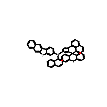 c1ccc2c(c1)Sc1ccccc1C21c2cc(N(c3ccc4c(c3)sc3cc5ccccc5cc34)c3cccc4ccccc34)ccc2-c2cccc3cccc1c23